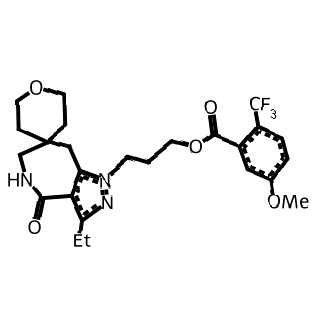 CCc1nn(CCCOC(=O)c2cc(OC)ccc2C(F)(F)F)c2c1C(=O)NCC1(CCOCC1)C2